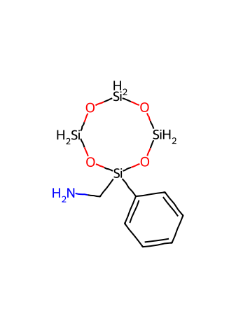 NC[Si]1(c2ccccc2)O[SiH2]O[SiH2]O[SiH2]O1